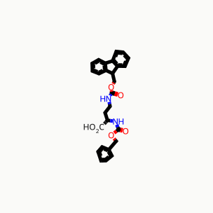 O=C(NCCC(NC(=O)OCc1ccccc1)C(=O)O)OCC1c2ccccc2-c2ccccc21